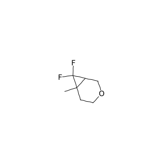 CC12CCOCC1C2(F)F